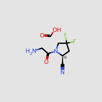 N#C[C@@H]1CC(F)(F)CN1C(=O)CN.O=CO